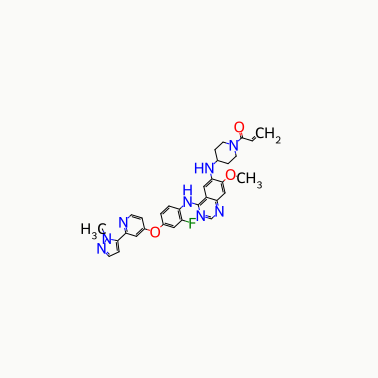 C=CC(=O)N1CCC(Nc2cc3c(Nc4ccc(Oc5ccnc(-c6ccnn6C)c5)cc4F)ncnc3cc2OC)CC1